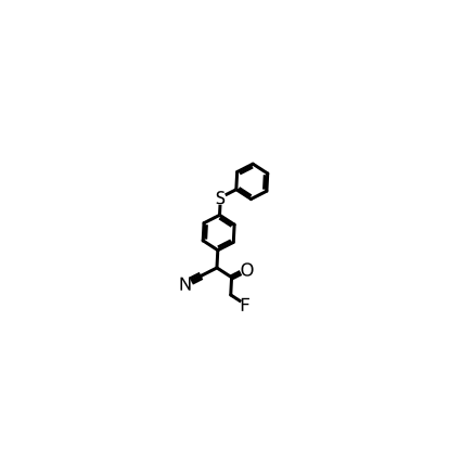 N#CC(C(=O)CF)c1ccc(Sc2ccccc2)cc1